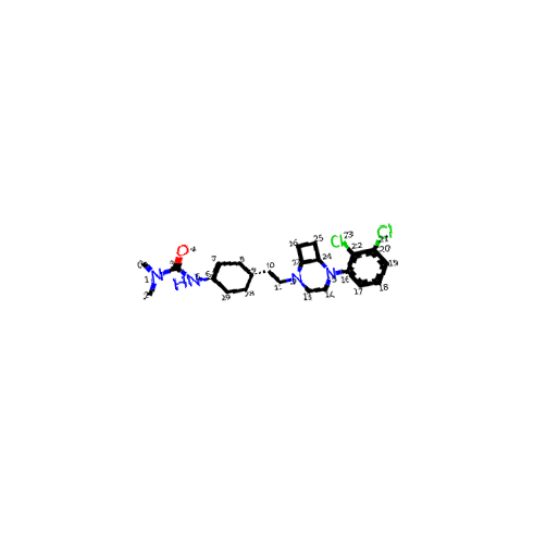 CN(C)C(=O)N[C@H]1CC[C@H](CCN2CCN(c3cccc(Cl)c3Cl)C3CCC32)CC1